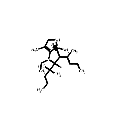 CCCC(C)C(C#N)C(F)(N(CC)C1=C(C)CNN1N)C(C)(C)CCC